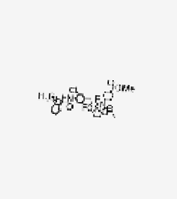 COC(=O)C1CCC(N(C(=O)C(F)(F)F)C(F)(C(=O)Cc2cc(Cl)c(NC(=O)c3cn(C)c4ccccc34)cc2F)N2CCCC2)CC1